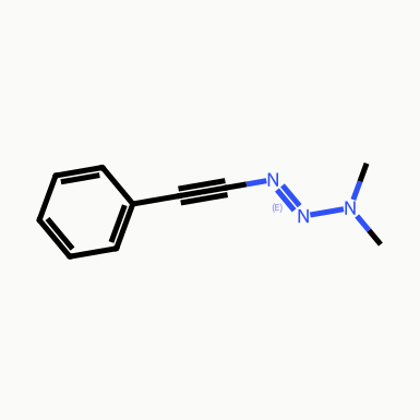 CN(C)/N=N/C#Cc1ccccc1